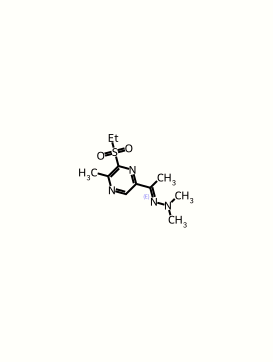 CCS(=O)(=O)c1nc(/C(C)=N/N(C)C)cnc1C